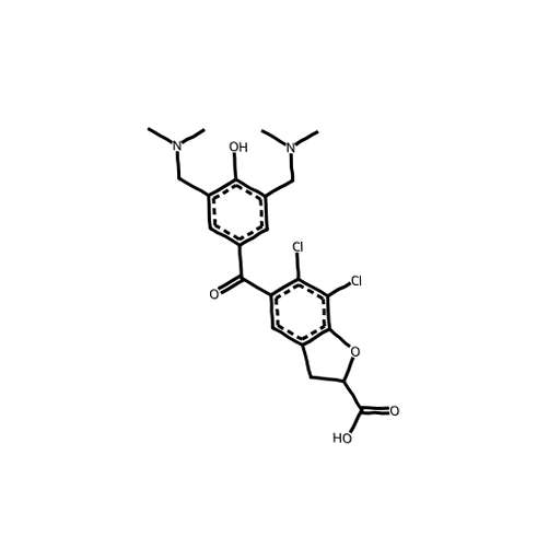 CN(C)Cc1cc(C(=O)c2cc3c(c(Cl)c2Cl)OC(C(=O)O)C3)cc(CN(C)C)c1O